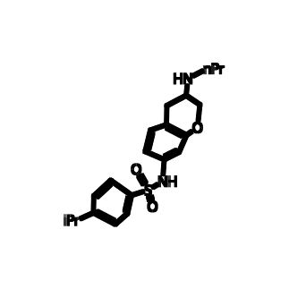 CCCNC1COc2cc(NS(=O)(=O)c3ccc(C(C)C)cc3)ccc2C1